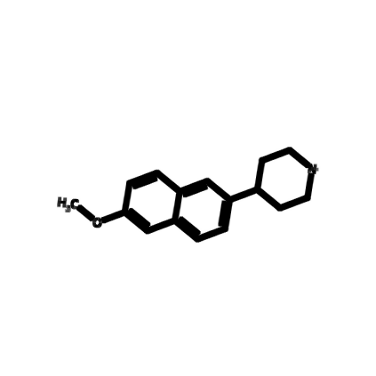 COc1ccc2cc(C3CC[N]CC3)ccc2c1